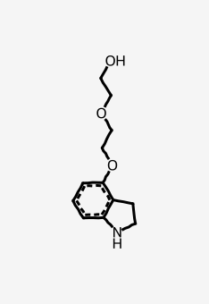 OCCOCCOc1cccc2c1CCN2